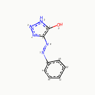 Oc1[nH]nnc1N=Nc1ccccc1